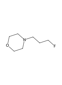 FCCCN1CCOCC1